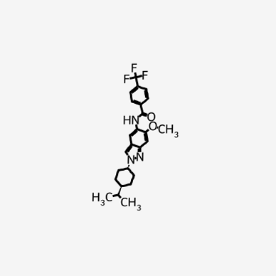 COc1cc2nn([C@H]3CC[C@H](C(C)C)CC3)cc2cc1NC(=O)c1ccc(C(F)(F)F)cc1